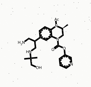 CC(=O)N1c2ccc(C(CN)CNC(C)(C)CO)cc2N(C(=O)Oc2cccnc2)C[C@@H]1C